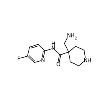 NCC1(C(=O)Nc2ccc(F)cn2)CCNCC1